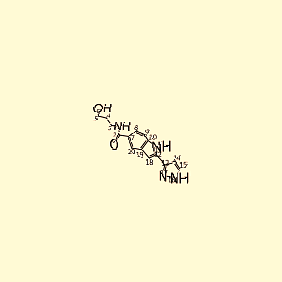 O=C(NCCCO)c1ccc2[nH]c(-c3cc[nH]n3)cc2c1